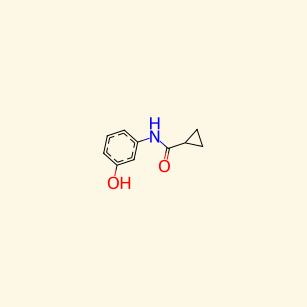 O=C(Nc1cccc(O)c1)C1CC1